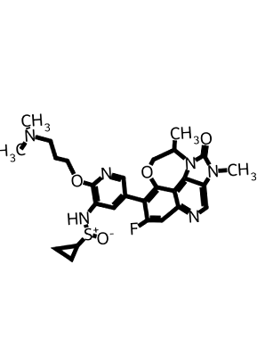 CC1COc2c(-c3cnc(OCCCN(C)C)c(N[S+]([O-])C4CC4)c3)c(F)cc3ncc4c(c23)n1c(=O)n4C